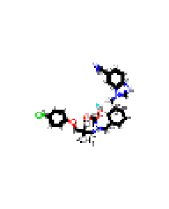 CC(C)(COc1ccc(Cl)cc1)CN(CC1CCC[C@H](Cn2cnc3ccc(C#N)cc32)C1)C(=O)OF